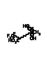 CC1(c2ccc(O)cc2)CSc2cc(O)ccc2C1CCCCCCCCC[C@@H](CCCC(F)(F)C(F)(F)F)C(=O)O